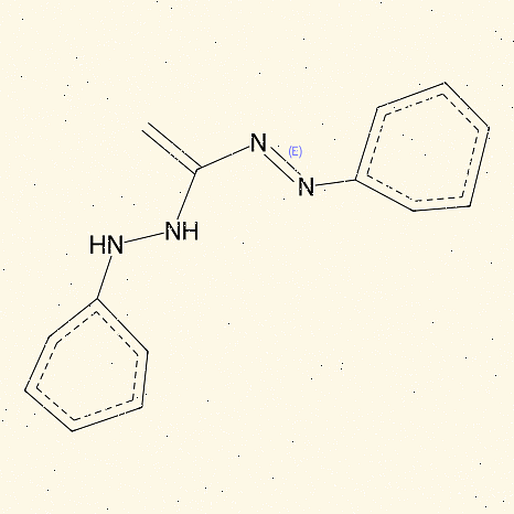 C=C(/N=N/c1ccccc1)NNc1ccccc1